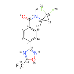 CN(C(=O)c1ccc(-c2noc(C(F)(F)F)n2)cc1)C1(C)CC1(F)F